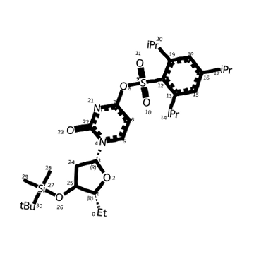 CC[C@H]1O[C@@H](n2ccc(OS(=O)(=O)c3c(C(C)C)cc(C(C)C)cc3C(C)C)nc2=O)CC1O[Si](C)(C)C(C)(C)C